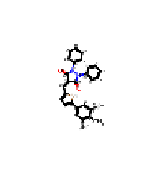 Cc1c(C(C)C)cc(-c2ccc(C=C3C(=O)N(c4ccccc4)N(c4ccccc4)C3=O)s2)cc1C(C)C